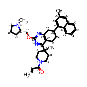 C=CC(=O)N1CCC(C#N)(c2nc(OC[C@@H]3CCCN3C)nc3c2CCC(c2cc(C)cc4ccccc24)C3)CC1